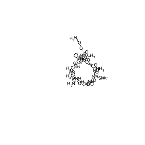 CSCCC1NC(=O)C(CO)NC(=O)C2CCCN2C(=O)C(CC(N)=O)NC(=O)C(C)NC(=O)C(C)NC(=O)C(Cc2c[nH]c3ccccc23)NC(=O)C(NC(=O)C(C)NC(=O)CCOCCOCCN)CSSCC(C(N)=O)NC1=O